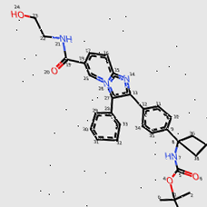 CC(C)(C)OC(=O)NC1(c2ccc(-c3nc4ccc(C(=O)NCCO)cn4c3-c3ccccc3)cc2)CCC1